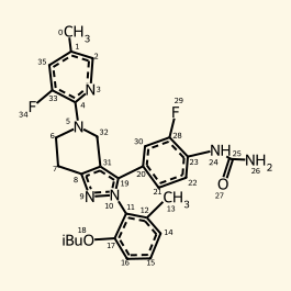 Cc1cnc(N2CCc3nn(-c4c(C)cccc4OCC(C)C)c(-c4ccc(NC(N)=O)c(F)c4)c3C2)c(F)c1